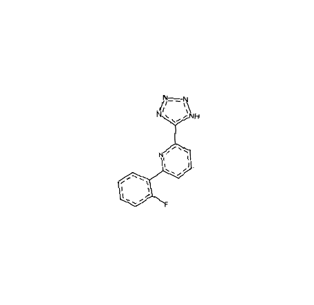 Fc1ccccc1-c1c[c]cc(-c2nnn[nH]2)n1